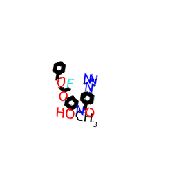 CN(C(=O)c1ccc(-n2cnnc2)cc1)c1ccc(OC(CF)COCc2ccccc2)cc1O